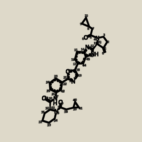 C=C1CCN(C(=O)CC2CC2)[C@@H]1c1nc2ccc(-c3cnc(-c4cccc(NC(=O)[C@@H]5CCCCN5C(=O)CC5CC5)c4)o3)cc2[nH]1